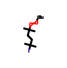 CC(C)(I)CCC(C)(C)OOC(C)(C)C